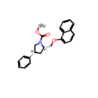 CC(C)(C)OC(=O)N1C[C@@H](c2ccccc2)C[C@H]1COc1cccc2ccccc12